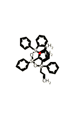 C=CC[Si](CC=C)(O[Si](O[Si](CC=C)(c1ccccc1)c1ccccc1)(c1ccccc1)c1ccccc1)c1ccccc1